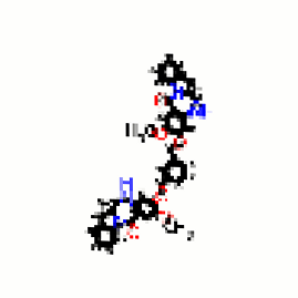 COc1cc2c(cc1OCc1cccc(COc3cc4c(cc3OC)C(=O)N3c5ccccc5C[C@H]3CN4)c1)NC[C@@H]1Cc3ccccc3N1C2=O